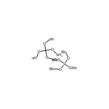 CCCOC(O[SiH3])(OCCC)OCCC.CO[Si](OC)(OC(C)(C)C)OC(C)(C)C